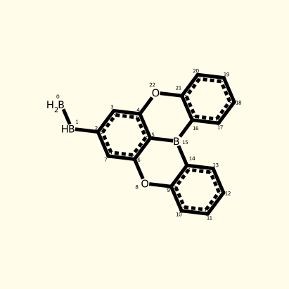 BBc1cc2c3c(c1)Oc1ccccc1B3c1ccccc1O2